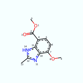 COC(=O)c1ccc(OC)c2nc(C)[nH]c12